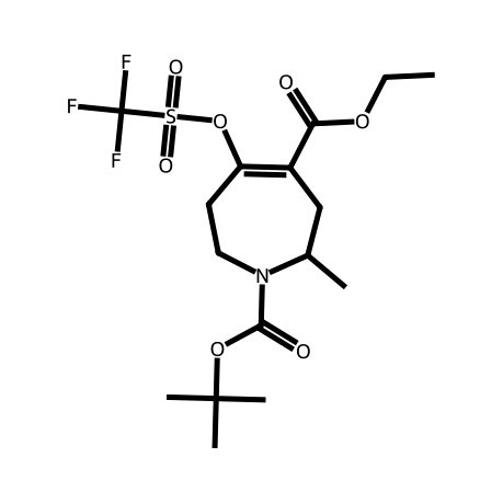 CCOC(=O)C1=C(OS(=O)(=O)C(F)(F)F)CCN(C(=O)OC(C)(C)C)C(C)C1